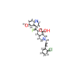 COc1ccc2nccc(C(F)CC[C@@H]3CCN(CC#Cc4ccccc4Cl)C[C@@H]3C(=O)O)c2c1